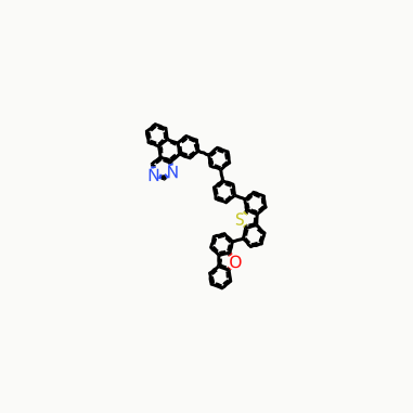 c1cc(-c2cccc(-c3cccc4c3sc3c(-c5cccc6c5oc5ccccc56)cccc34)c2)cc(-c2ccc3c4ccccc4c4cncnc4c3c2)c1